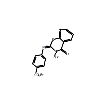 CCCn1c(=O)c2cccnc2s/c1=N/c1ccc(C(=O)OCC)cc1